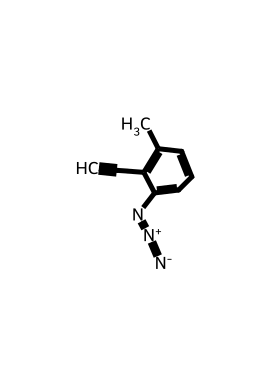 C#Cc1c(C)cccc1N=[N+]=[N-]